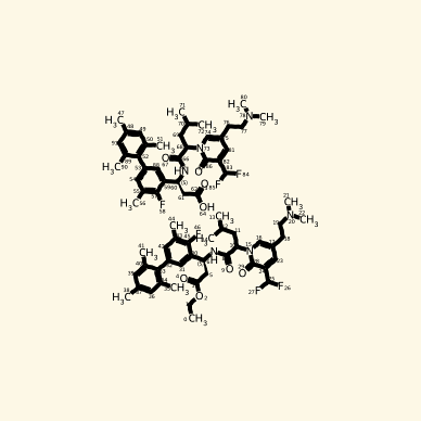 CCOC(=O)C[C@H](NC(=O)C(CC(C)C)n1cc(CCN(C)C)cc(C(F)F)c1=O)c1cc(-c2c(C)cc(C)cc2C)cc(C)c1F.Cc1cc(C)c(-c2cc(C)c(F)c([C@H](CC(=O)O)NC(=O)C(CC(C)C)n3cc(CCN(C)C)cc(C(F)F)c3=O)c2)c(C)c1